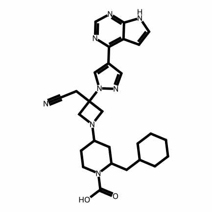 N#CCC1(n2cc(-c3ncnc4[nH]ccc34)cn2)CN(C2CCN(C(=O)O)C(CC3CCCCC3)C2)C1